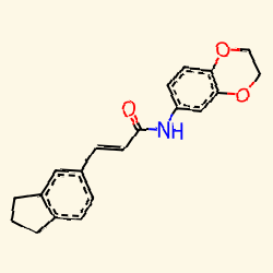 O=C(/C=C/c1ccc2c(c1)CCC2)Nc1ccc2c(c1)OCCO2